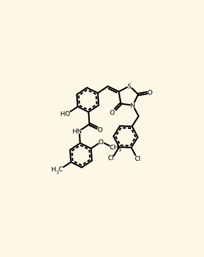 COc1ccc(C)cc1NC(=O)c1cc(C=C2SC(=O)N(Cc3ccc(Cl)c(Cl)c3)C2=O)ccc1O